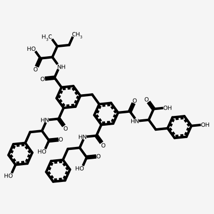 CCC(C)C(NC(=O)c1cc(Cc2cc(C(=O)NC(Cc3ccccc3)C(=O)O)cc(C(=O)NC(Cc3ccc(O)cc3)C(=O)O)c2)cc(C(=O)NC(Cc2ccc(O)cc2)C(=O)O)c1)C(=O)O